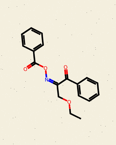 CCOCC(=NOC(=O)c1ccccc1)C(=O)c1ccccc1